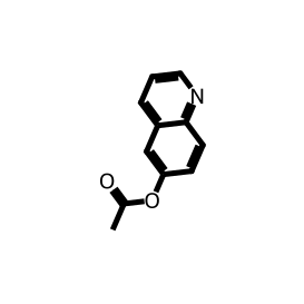 CC(=O)Oc1ccc2ncccc2c1